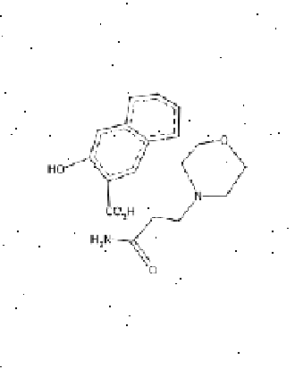 NC(=O)CCN1CCOCC1.O=C(O)c1cc2ccccc2cc1O